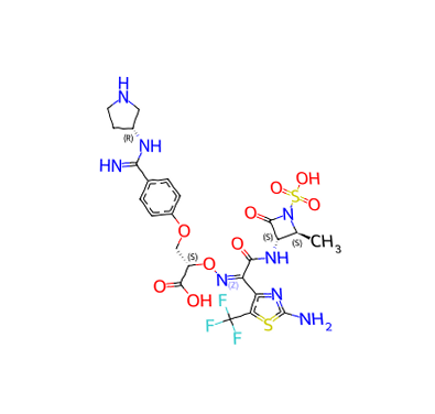 C[C@H]1[C@H](NC(=O)/C(=N\O[C@@H](COc2ccc(C(=N)N[C@@H]3CCNC3)cc2)C(=O)O)c2nc(N)sc2C(F)(F)F)C(=O)N1S(=O)(=O)O